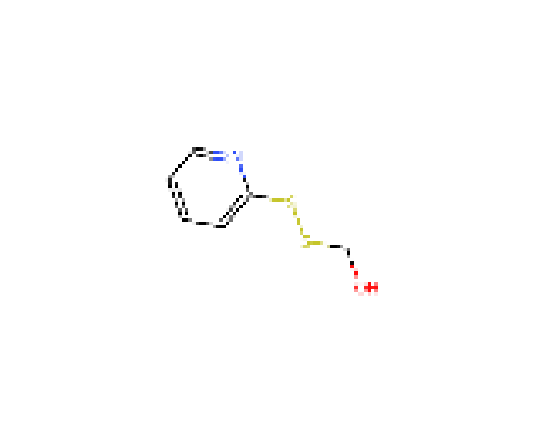 OCSSc1ccccn1